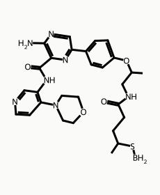 BSC(C)CCC(=O)NCC(C)Oc1ccc(-c2cnc(N)c(C(=O)Nc3cnccc3N3CCOCC3)n2)cc1